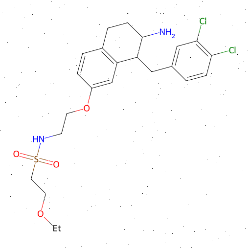 CCOCCS(=O)(=O)NCCOc1ccc2c(c1)C(Cc1ccc(Cl)c(Cl)c1)C(N)CC2